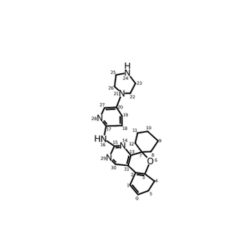 C1=CC2=C(CC1)OC1(CCCCC1)c1nc(Nc3ccc(N4CCNCC4)cn3)ncc12